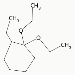 CCOC1(OCC)CCCCC1CC